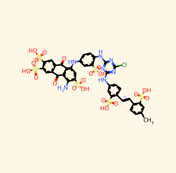 Cc1ccc(/C=C/c2ccc(Nc3nc(Cl)nc(Nc4ccc(Nc5cc(S(=O)(=O)O)c(N)c6c5C(=O)c5cc(S(=O)(=O)O)c(S(=O)(=O)O)cc5C6=O)cc4S(=O)(=O)O)n3)cc2S(=O)(=O)O)c(S(=O)(=O)O)c1